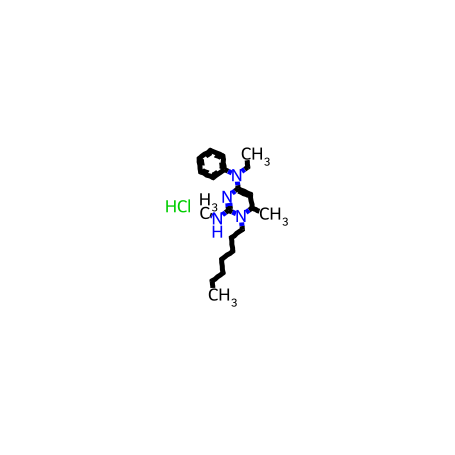 CCCCCCCN1C(NC)=NC(N(CC)c2ccccc2)=CC1C.Cl